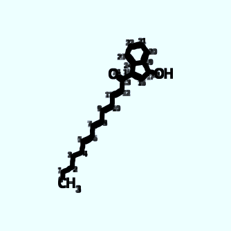 CCCCCC=CC=CC=CC=CC(=O)C1=CC(O)c2ccccc21